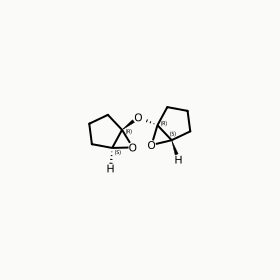 C1C[C@@H]2O[C@@]2(O[C@]23CCC[C@@H]2O3)C1